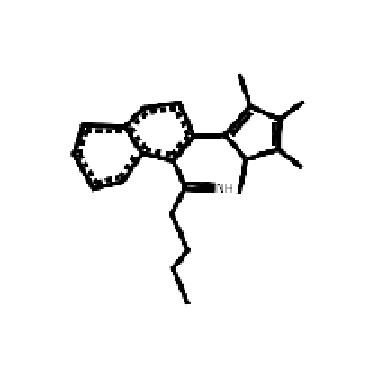 CCCCC(=N)c1c(C2=C(C)C(C)=C(C)C2C)ccc2ccccc12